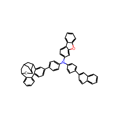 c1ccc2c(c1)-c1ccc(-c3ccc(N(c4ccc(-c5ccc6ccccc6c5)cc4)c4ccc5c(c4)oc4ccccc45)cc3)cc1C1CC3CC(CC2C3)C1